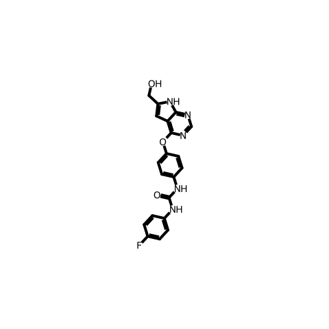 O=C(Nc1ccc(F)cc1)Nc1ccc(Oc2ncnc3[nH]c(CO)cc23)cc1